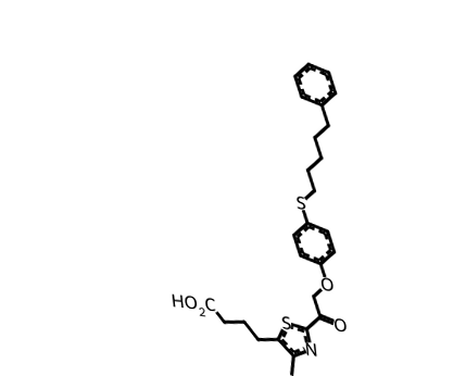 Cc1nc(C(=O)COc2ccc(SCCCCCc3ccccc3)cc2)sc1CCCC(=O)O